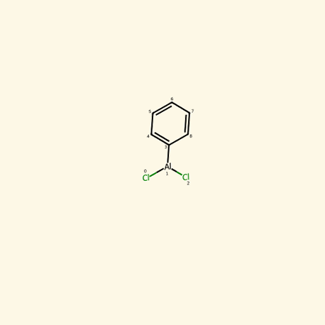 [Cl][Al]([Cl])[c]1ccccc1